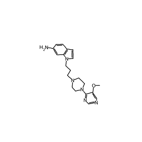 COc1cncnc1N1CCN(CCCn2ccc3ccc(N)cc32)CC1